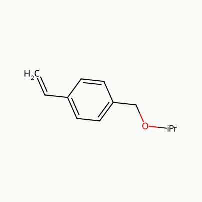 C=Cc1ccc(COC(C)C)cc1